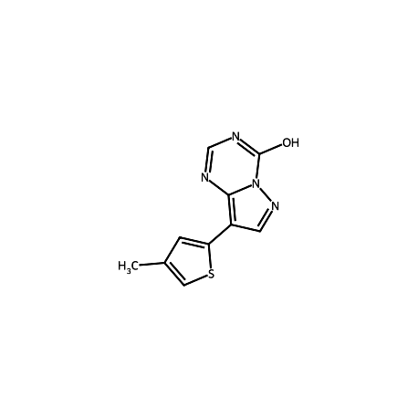 Cc1csc(-c2cnn3c(O)ncnc23)c1